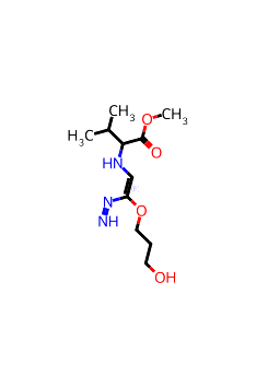 COC(=O)C(N/C=C(\N=N)OCCCO)C(C)C